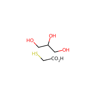 O=C(O)CS.OCC(O)CO